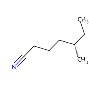 CC[C@H](C)CCCC#N